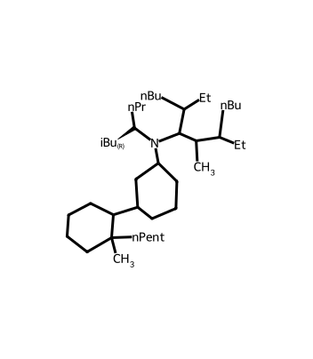 CCCCCC1(C)CCCCC1C1CCCC(N(C(C(CC)CCCC)C(C)C(CC)CCCC)C(CCC)[C@H](C)CC)C1